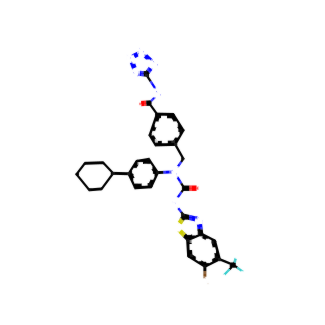 O=C(Nc1nn[nH]n1)c1ccc(CN(C(=O)Nc2nc3cc(C(F)(F)F)c(Br)cc3s2)c2ccc(C3CCCCC3)cc2)cc1